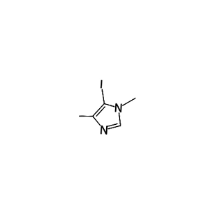 Cc1ncn(C)c1I